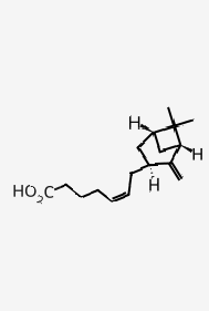 C=C1[C@@H](C/C=C\CCCC(=O)O)C[C@H]2C[C@@H]1C2(C)C